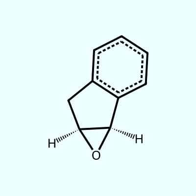 c1ccc2c(c1)C[C@@H]1O[C@H]21